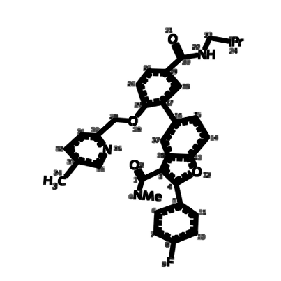 CNC(=O)c1c(-c2ccc(F)cc2)oc2ccc(-c3cc(C(=O)NCC(C)C)ccc3OCc3ccc(C)cn3)cc12